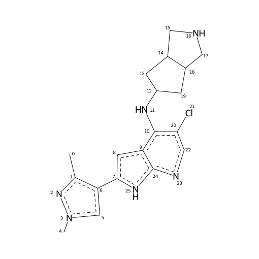 Cc1nn(C)cc1-c1cc2c(NC3CC4CNCC4C3)c(Cl)cnc2[nH]1